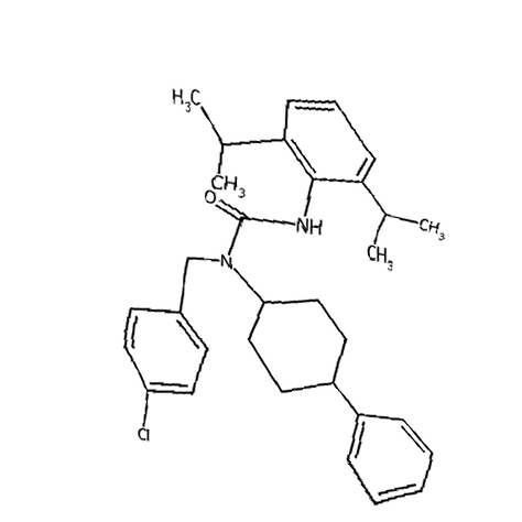 CC(C)c1cccc(C(C)C)c1NC(=O)N(Cc1ccc(Cl)cc1)C1CCC(c2ccccc2)CC1